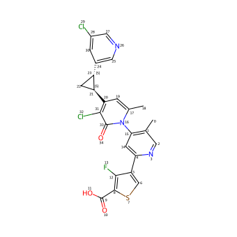 Cc1cnc(-c2csc(C(=O)O)c2F)cc1-n1c(C)cc([C@H]2C[C@@H]2c2cncc(Cl)c2)c(Cl)c1=O